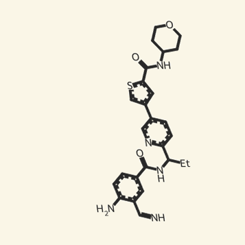 CCC(NC(=O)c1ccc(N)c(C=N)c1)c1ccc(-c2csc(C(=O)NC3CCOCC3)c2)cn1